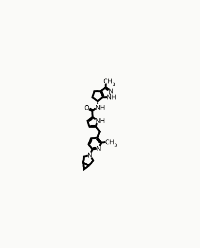 Cc1nc(N2CC3CC3C2)ccc1Cc1ccc(C(=O)N[C@@H]2CCc3c(C)n[nH]c32)[nH]1